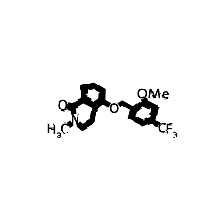 COc1cc(C(F)(F)F)ccc1COc1cccc2c1CCN(C)C2=O